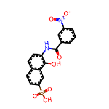 O=C(Nc1ccc2ccc(S(=O)(=O)O)cc2c1O)c1cccc([N+](=O)[O-])c1